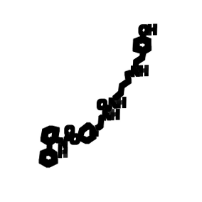 O=C(NCCCCCNCCc1ccc(O)cc1)NCCN1CCC(OC(=O)Nc2ccccc2-c2ccccc2)CC1